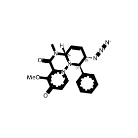 COc1c2n(ccc1=O)N1[C@H](c3ccccc3)[C@@H](N=[N+]=[N-])C=C[C@H]1N(C)C2=O